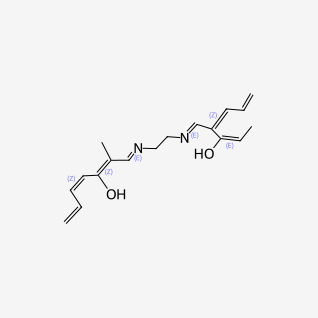 C=C\C=C/C(O)=C(C)/C=N/CC/N=C/C(=C/C=C)C(/O)=C\C